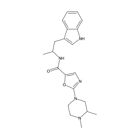 CC(Cc1c[nH]c2ccccc12)NC(=O)c1cnc(N2CCN(C)C(C)C2)o1